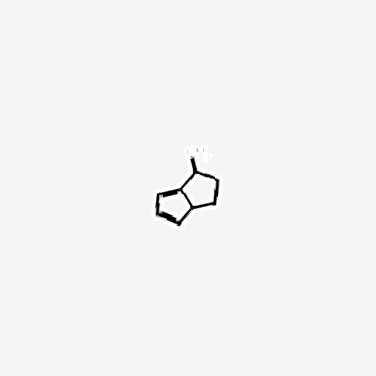 CC1CCC2C=CC=C12